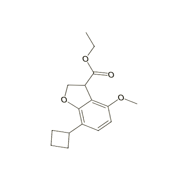 CCOC(=O)C1COc2c(C3CCC3)ccc(OC)c21